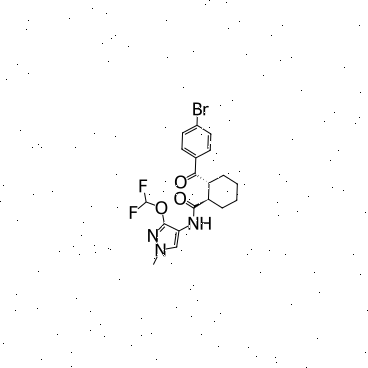 Cn1cc(NC(=O)[C@@H]2CCCC[C@H]2C(=O)c2ccc(Br)cc2)c(OC(F)F)n1